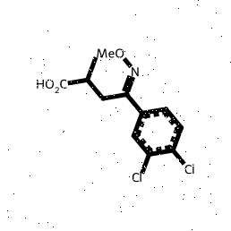 CO/N=C(\CC(C)C(=O)O)c1ccc(Cl)c(Cl)c1